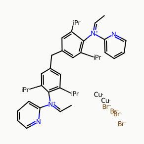 CC=[N+](c1ccccn1)c1c(C(C)C)cc(Cc2cc(C(C)C)c([N+](=CC)c3ccccn3)c(C(C)C)c2)cc1C(C)C.[Br-].[Br-].[Br-].[Br-].[Cu].[Cu]